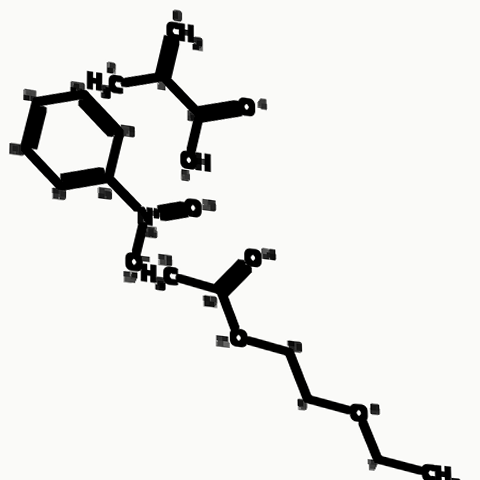 C=C(C)C(=O)O.CCOCCOC(C)=O.O=[N+]([O-])c1ccccc1